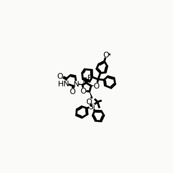 COc1ccc(C(O[C@@H]2[C@@H](CO[Si](c3ccccc3)(c3ccccc3)C(C)(C)C)O[C@@H](n3ccc(=O)[nH]c3=O)C2(F)F)(c2ccccc2)c2ccccc2)cc1